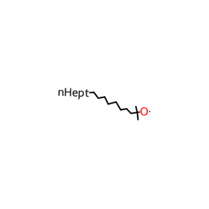 CCCCCCCCCCCCCCCC(C)(C)[O]